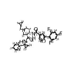 O=C(N[C@H]1CCN(CC2CC2)C[C@@H]1C(=O)NC1(c2ncccn2)CC1)c1cc(-c2c(F)cc(F)cc2F)on1